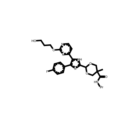 CC(C)NC(=O)C1(C)COC(c2nc(-c3ccc(F)cc3)c(-c3ccnc(OCCCO)n3)[nH]2)OC1